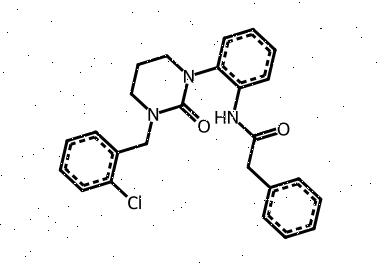 O=C(Cc1ccccc1)Nc1ccccc1N1CCCN(Cc2ccccc2Cl)C1=O